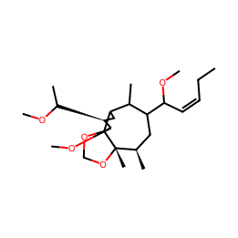 CC/C=C\C(OC)C1C[C@@H](C)[C@]2(C)OCOC23C(C[C@H](C(C)OC)C3OC)C1C